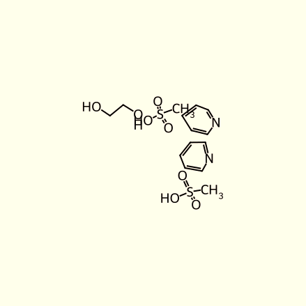 CS(=O)(=O)O.CS(=O)(=O)O.OCCO.c1ccncc1.c1ccncc1